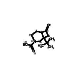 CC(C)(C)C12CC(=O)C1CCN(C(=O)O)C2